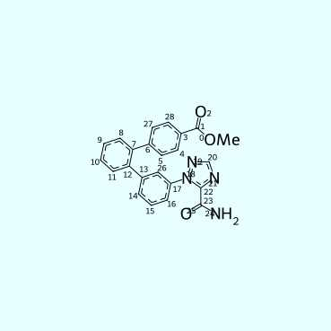 COC(=O)c1ccc(-c2ccccc2-c2cccc(-n3ncnc3C(N)=O)c2)cc1